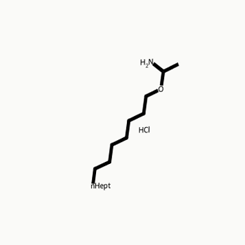 CCCCCCCCCCCCCCOC(C)N.Cl